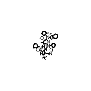 COc1ccccc1Nc1nc(N(c2nc3ccccc3s2)c2c(C)cccc2OC)cc(C)c1/N=N/c1c(C#N)c(C(C)(C)C)nn1-c1nc2ccccc2o1